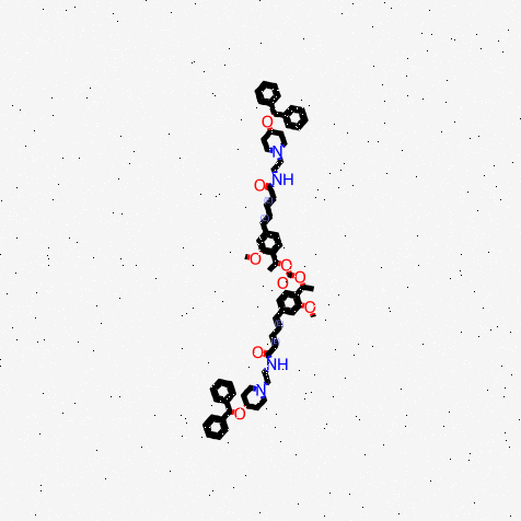 COc1cc(/C=C/C=C/C(=O)NCCN2CCC(OC(c3ccccc3)c3ccccc3)CC2)ccc1C(C)OC(=O)OC(C)c1ccc(/C=C/C=C/C(=O)NCCN2CCC(OC(c3ccccc3)c3ccccc3)CC2)cc1OC